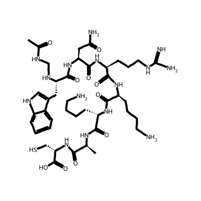 CC(=O)NCN[C@@H](Cc1c[nH]c2ccccc12)C(=O)N[C@@H](CC(N)=O)C(=O)N[C@@H](CCCNC(=N)N)C(=O)N[C@@H](CCCCN)C(=O)N[C@@H](CCCCN)C(=O)N[C@@H](C)C(=O)N[C@@H](CS)C(=O)O